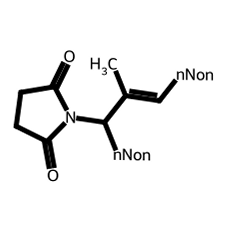 CCCCCCCCC/C=C(\C)C(CCCCCCCCC)N1C(=O)CCC1=O